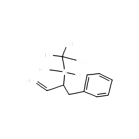 C=CC(Cc1ccccc1)[N+](C)(C)C(C)(C)C(=O)[O-]